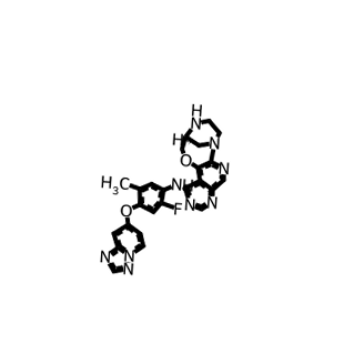 Cc1cc(Nc2ncnc3cnc4c(c23)OC[C@H]2CN4CCN2)c(F)cc1Oc1ccn2ncnc2c1